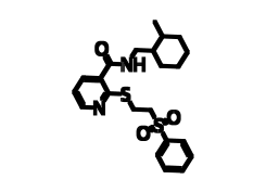 CC1CCCCC1CNC(=O)c1cccnc1SCCS(=O)(=O)c1ccccc1